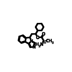 C[C@H](N)C(=O)OC(CC1c2ccccc2-c2cncn21)C1CCCCC1